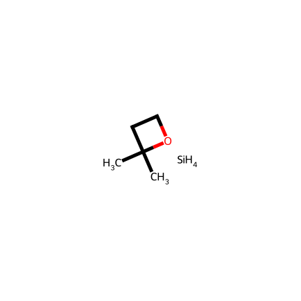 CC1(C)CCO1.[SiH4]